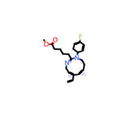 C=CC1=C/C/N=C(/CCCCC(=O)OC)N(C2C=CC(F)=CC2)CC/C=C\1